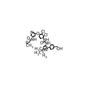 COCC(=O)Nc1cncc(Oc2ccc(NC(=O)Nc3cc(C(C)(C)C)nn3-c3ccc(CO)cc3)c(Cl)c2Cl)c1